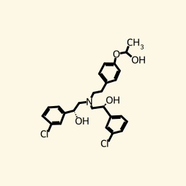 CC(O)Oc1ccc(CCN(C[C@H](O)c2cccc(Cl)c2)C[C@H](O)c2cccc(Cl)c2)cc1